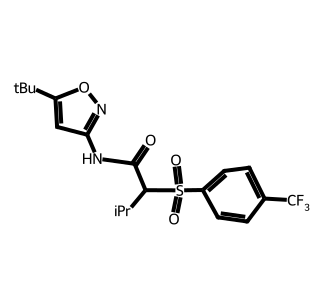 CC(C)C(C(=O)Nc1cc(C(C)(C)C)on1)S(=O)(=O)c1ccc(C(F)(F)F)cc1